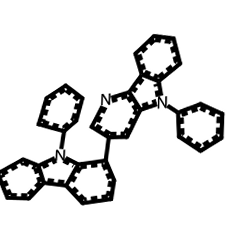 c1ccc(-n2c3ccccc3c3ncc(-c4cccc5c6ccccc6n(-c6ccccc6)c45)cc32)cc1